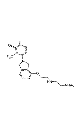 CC(=O)NCCNCCOc1cccc2c1CN(c1cn[nH]c(=O)c1C(F)(F)F)C2